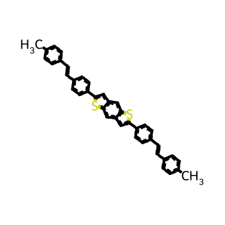 Cc1ccc(/C=C/c2ccc(-c3cc4cc5sc(-c6ccc(/C=C/c7ccc(C)cc7)cc6)cc5cc4s3)cc2)cc1